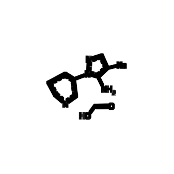 Nc1[c]([Na])cnn1-c1cccnc1.O=CO